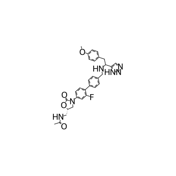 COc1ccc(CC(NCc2ccc(-c3ccc(N4C[C@H](CNC(C)=O)OC4=O)cc3F)cc2)c2cnn[nH]2)cc1